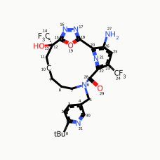 CC(C)(C)c1ccc(CN2CCCCC[C@](O)(C(F)(F)F)c3nnc(o3)-c3nc(c(C(F)(F)F)cc3N)C2=O)cn1